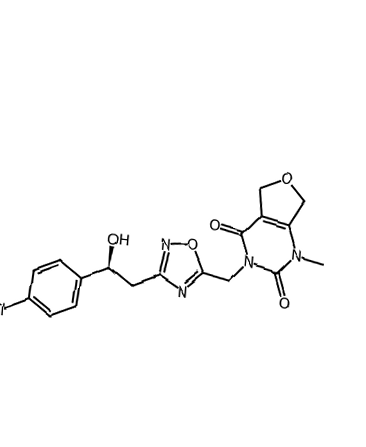 Cn1c2c(c(=O)n(Cc3nc(C[C@H](O)c4ccc(Cl)cc4)no3)c1=O)COC2